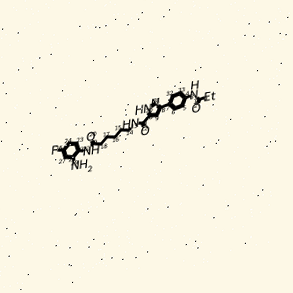 CCC(=O)Nc1ccc(-c2cc(C(=O)NCCCCCC(=O)Nc3ccc(F)cc3N)[nH]n2)cc1